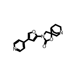 O=C1OC2(CN3CCC2CC3)CN1c1cc(-c2ccncc2)co1